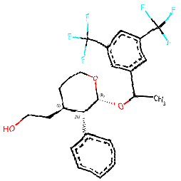 CC(O[C@H]1OCC[C@H](CCO)[C@H]1c1ccccc1)c1cc(C(F)(F)F)cc(C(F)(F)F)c1